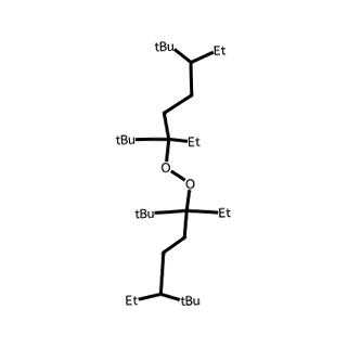 CCC(CCC(CC)(OOC(CC)(CCC(CC)C(C)(C)C)C(C)(C)C)C(C)(C)C)C(C)(C)C